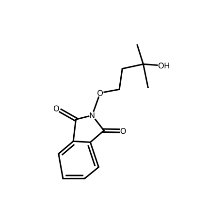 CC(C)(O)CCON1C(=O)c2ccccc2C1=O